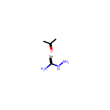 CC(C)=O.NNC(N)=[Se]